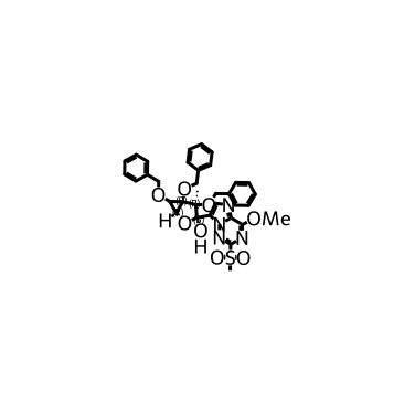 COc1nc(S(C)(=O)=O)nn2c([C@]3(O)O[C@@H]4C(OCc5ccccc5)[C@]4(OCc4ccccc4)[C@@]3(C)OCc3ccccc3)cnc12